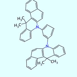 CC1(C)c2ccccc2N(c2cccc(N3c4ccccc4C(C)(C)c4c3ccc3ccccc43)c2)c2ccc3ccccc3c21